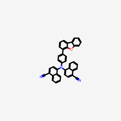 N#Cc1ccc(N(c2ccc(-c3cccc4c3oc3ccccc34)cc2)c2ccc(C#N)c3ccccc23)c2ccccc12